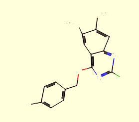 COc1cc2nc(Cl)nc(OCc3ccc(C(=O)O)cc3)c2cc1OC